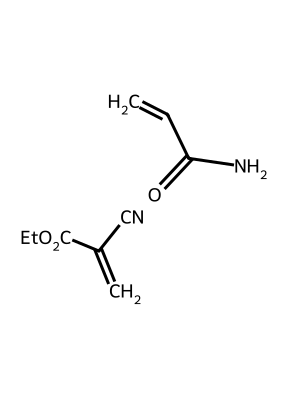 C=C(C#N)C(=O)OCC.C=CC(N)=O